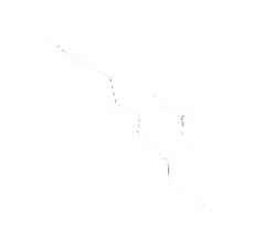 CCC(CCCCC#N)OC(=O)O